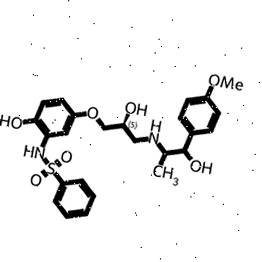 COc1ccc(C(O)C(C)NC[C@H](O)COc2ccc(O)c(NS(=O)(=O)c3ccccc3)c2)cc1